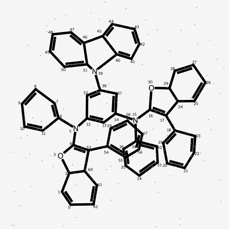 C1=CC2OC(N(c3ccccc3)c3cc(N(C4=C(c5ccccc5)C5C=CC=CC5O4)c4ccccc4)cc(-n4c5ccccc5c5ccccc54)c3)=C(c3ccccc3)C2C=C1